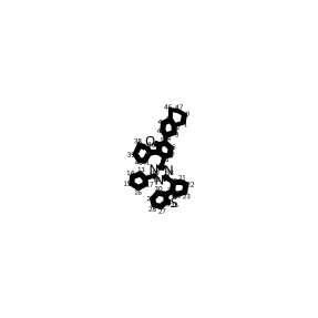 C1=Cc2cc(-c3ccc(-c4nc(-c5ccccc5)nc(-c5cccc6sc7ccccc7c56)n4)c4c3oc3ccccc34)ccc2CC1